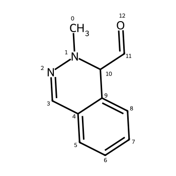 CN1N=Cc2ccccc2C1C=O